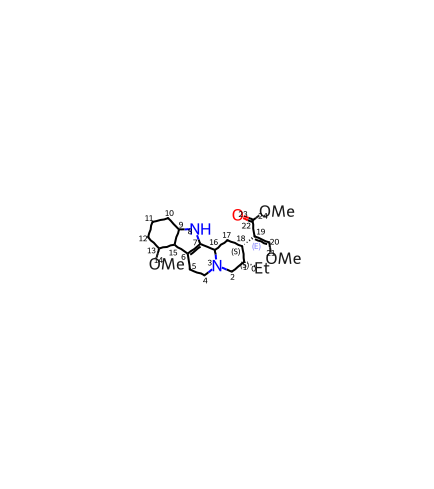 CC[C@@H]1CN2CCC3=C(NC4CCCC(OC)C34)C2C[C@@H]1/C(=C\OC)C(=O)OC